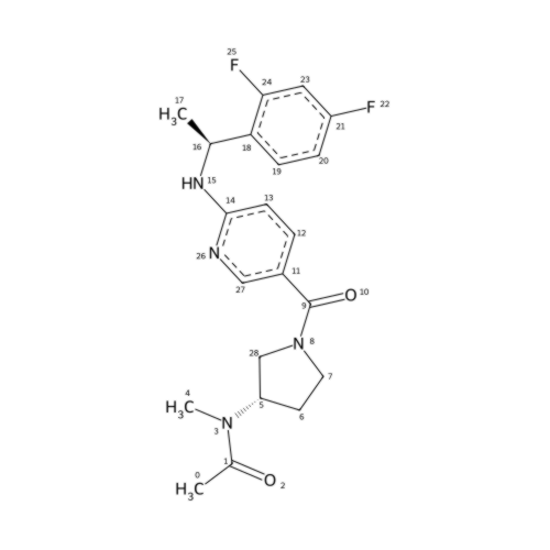 CC(=O)N(C)[C@H]1CCN(C(=O)c2ccc(N[C@@H](C)c3ccc(F)cc3F)nc2)C1